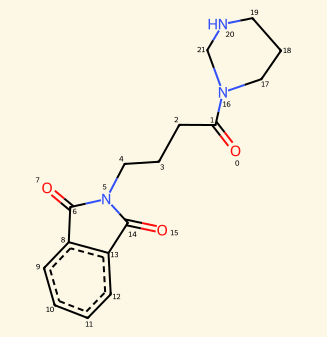 O=C(CCCN1C(=O)c2ccccc2C1=O)N1CCCNC1